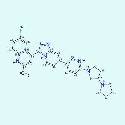 Cc1cc(-c2cnc3cc(-c4ccc(N5CCC(N6CCCC6)C5)nc4)ccn23)c2cc(F)ccc2n1